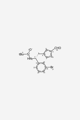 CC(C)(C)[S+]([O-])N[C@H](Cc1csc(C=O)c1)c1cccc(Br)c1